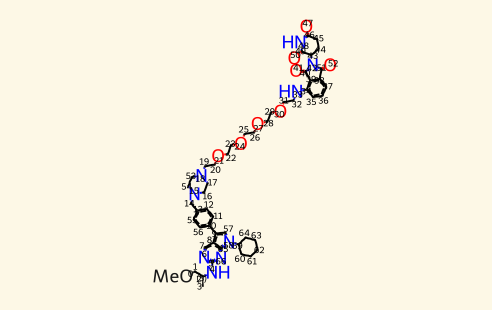 COC[C@H](C)Nc1ncc2c(-c3ccc(CN4CCN(CCOCCOCCOCCOCCNc5cccc6c5C(=O)N(C5CCC(=O)NC5=O)C6=O)CC4)cc3)cn(C3CCCCC3)c2n1